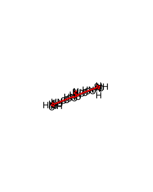 [N-]=[N+]=Cc1cc(C(=O)NCCCOCCOCCOCCCNC(=O)CCCC[C@@H]2SC[C@@H]3NC(=O)N[C@@H]32)cc(C(=O)NCCCOCCOCCOCCCNC(=O)CCCC[C@@H]2SC[C@@H]3NC(=O)N[C@@H]32)c1